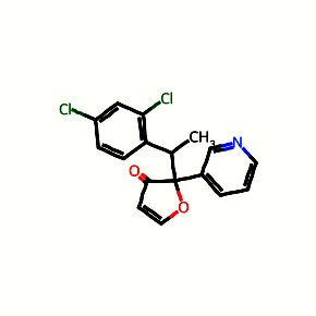 CC(c1ccc(Cl)cc1Cl)C1(c2cccnc2)OC=CC1=O